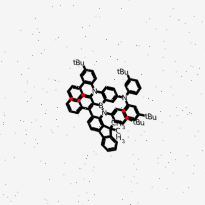 CC(C)(C)c1ccc(N2B3c4cc(N(c5cccc(C(C)(C)C)c5)c5cccc(C(C)(C)C)c5)ccc4N(c4ccc(C(C)(C)C)cc4-c4ccccc4)c4cc5ccccc5c(c43)-c3ccc4c(c32)C(C)(C)c2ccccc2-4)cc1